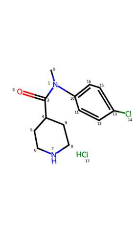 CN(C(=O)C1CCNCC1)c1ccc(Cl)cc1.Cl